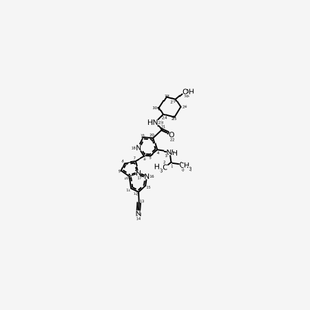 CC(C)Nc1cc(-c2ccc3cc(C#N)cnn23)ncc1C(=O)NC1CCC(O)CC1